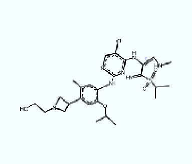 CN/C=C(/Nc1nc(Nc2cc(C)c(C3CN(CCO)C3)cc2OC(C)C)ncc1Cl)C(=N)S(=O)(=O)C(C)C